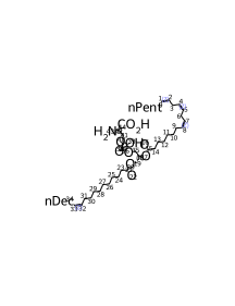 CCCCC/C=C\C/C=C\C/C=C\CCCCCCC(=O)O[C@H](COC(=O)CCCCCCCCC/C=C\CCCCCCCCCC)COP(=O)(O)OC[C@H](N)C(=O)O